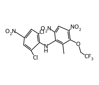 Cc1c(Nc2c(Cl)cc([N+](=O)[O-])cc2Cl)c([N+](=O)[O-])cc([N+](=O)[O-])c1OCC(F)(F)F